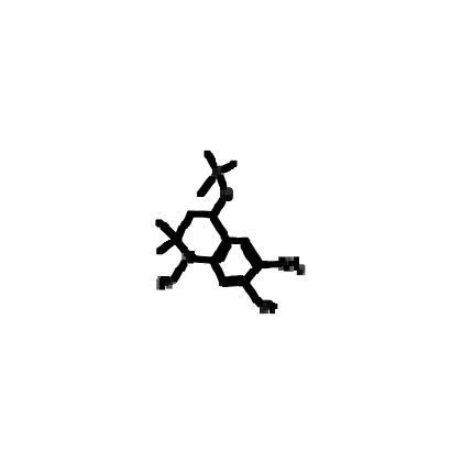 CC(C)c1cc2c(cc1N)C(O[Si](C)(C)C)CC(C)(C)N2C(C)C